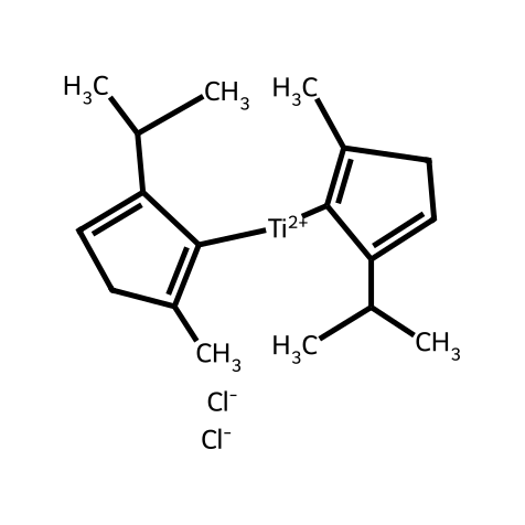 CC1=[C]([Ti+2][C]2=C(C)CC=C2C(C)C)C(C(C)C)=CC1.[Cl-].[Cl-]